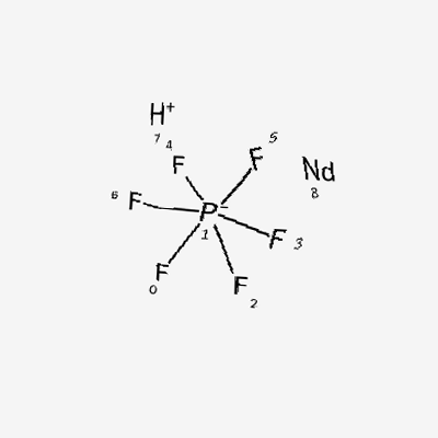 F[P-](F)(F)(F)(F)F.[H+].[Nd]